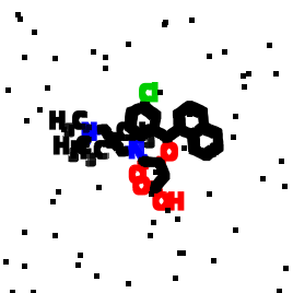 CN(C)CC(C)(C)CN1C(=O)C(CC(=O)O)OC(c2cccc3ccccc23)c2cc(Cl)ccc21